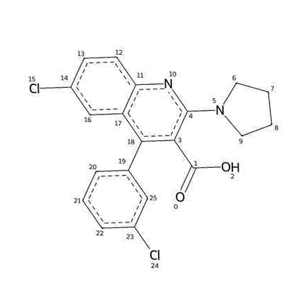 O=C(O)c1c(N2CCCC2)nc2ccc(Cl)cc2c1-c1cccc(Cl)c1